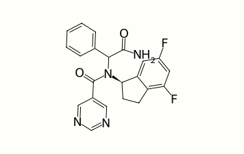 NC(=O)C(c1ccccc1)N(C(=O)c1cncnc1)[C@@H]1CCc2c(F)cc(F)cc21